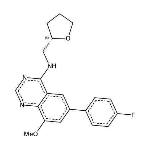 COc1cc(-c2ccc(F)cc2)cc2c(NC[C@@H]3CCCO3)ncnc12